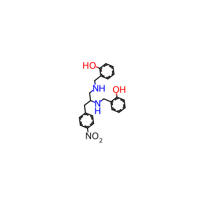 O=[N+]([O-])c1ccc(CC(CNCc2ccccc2O)NCc2ccccc2O)cc1